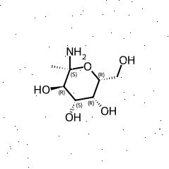 C[C@]1(N)O[C@H](CO)[C@H](O)[C@H](O)[C@H]1O